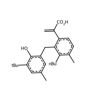 C=C(C(=O)O)c1ccc(C)c(CCCC)c1Cc1cc(C)cc(C(C)(C)C)c1O